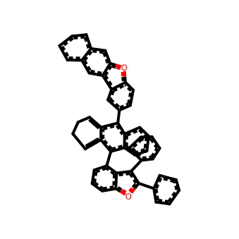 C1=c2c(-c3ccc4oc5cc6ccccc6cc5c4c3)c3ccccc3c(-c3cccc4oc(-c5ccccc5)c(-c5ccccc5)c34)c2=CCC1